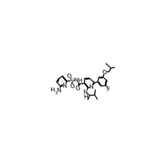 CC(C)COc1cc(F)cc(-c2ccc(C(=O)NS(=O)(=O)c3cccc(N)n3)c(NC(C)C(C)C)n2)c1